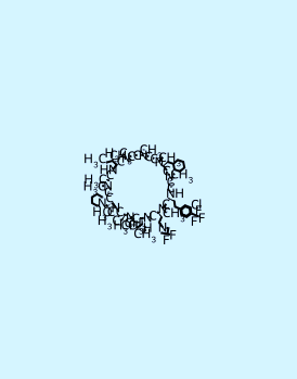 CC[C@H](C)[C@H]1CN(C)CCN(C)CCN(C)[C@@H](CC2CCCCC2)CN(C)CCN[C@@H](CCc2ccc(C(F)(F)F)c(Cl)c2)CN(C)[C@@H](CCN2CC(F)(F)C2)CN[C@@H](CC(C)C)CN(C)[C@@H](C(C)C)CN(C)[C@H](C(=O)N2CCCCC2)CCN(C)[C@@H](C)CN1